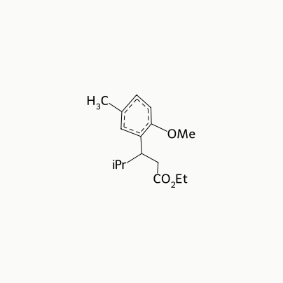 CCOC(=O)CC(c1cc(C)ccc1OC)C(C)C